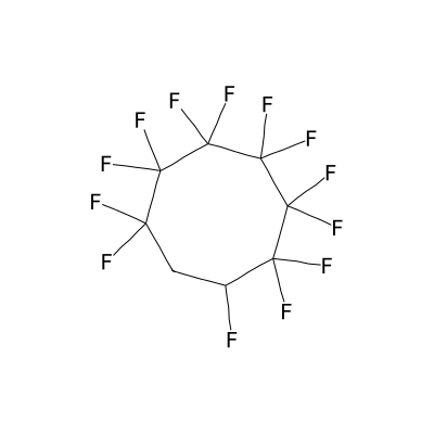 FC1CC(F)(F)C(F)(F)C(F)(F)C(F)(F)C(F)(F)C1(F)F